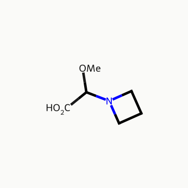 COC(C(=O)O)N1CCC1